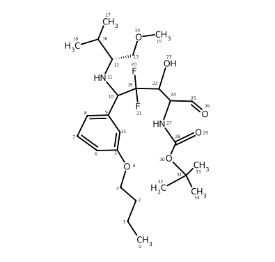 CCCCOc1cccc(C(N[C@@H](COC)C(C)C)C(F)(F)C(O)C(C=O)NC(=O)OC(C)(C)C)c1